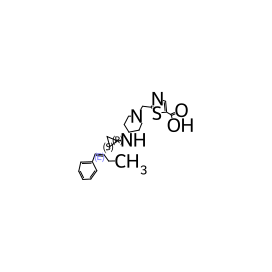 CC/C(=C\c1ccccc1)[C@@H]1C[C@H]1NC1CCN(Cc2ncc(C(=O)O)s2)CC1